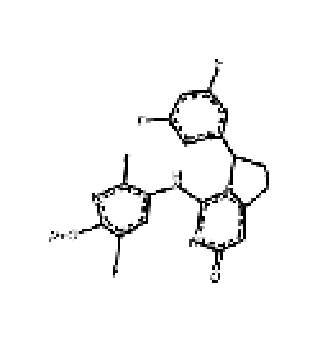 COc1nc(C)c(Nc2nc(=O)cc3n2C(c2cc(F)cc(F)c2)CC3)cc1F